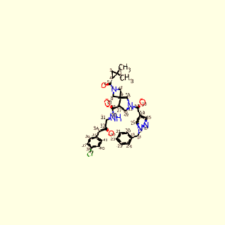 CC1(C)C[C@@H]1C(=O)N1CC2(CN(C(=O)c3cnn(Cc4ccccc4)c3)CC2C(=O)NCC(=O)Cc2ccc(Cl)cc2)C1